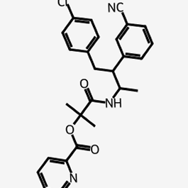 CC(NC(=O)C(C)(C)OC(=O)c1ccccn1)C(Cc1ccc(Cl)cc1)c1cccc(C#N)c1